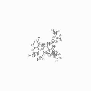 C#Cc1c(F)ccc2cc(O)cc(C3=C(F)c4nc(OCC5(CN(C)C)CC5)nc(N5CC6CCC(C5)N6)c4[S+]([O-])N3C3CC3(F)F)c12